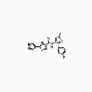 Cn1cc(NC(=O)c2csc(-c3cn[nH]c3)n2)c(-c2ccc(F)cc2)n1